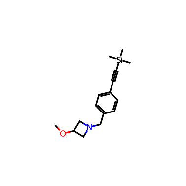 COC1CN(Cc2ccc(C#C[Si](C)(C)C)cc2)C1